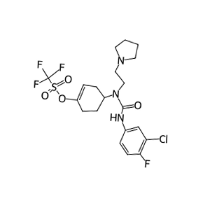 O=C(Nc1ccc(F)c(Cl)c1)N(CCN1CCCC1)C1CC=C(OS(=O)(=O)C(F)(F)F)CC1